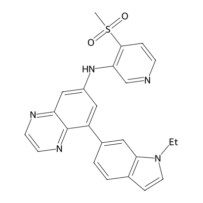 CCn1ccc2ccc(-c3cc(Nc4cnccc4S(C)(=O)=O)cc4nccnc34)cc21